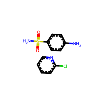 Clc1ccccn1.Nc1ccc(S(N)(=O)=O)cc1